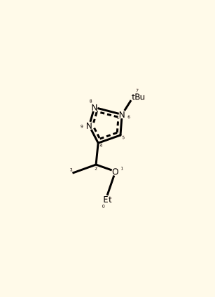 CCOC(C)c1cn(C(C)(C)C)nn1